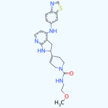 COCCNC(=O)N1CC=C(C2Cc3c(Nc4ccc5ncsc5c4)ccnc3N2)CC1